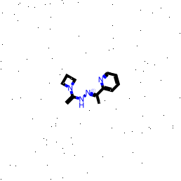 C=C(N/N=C(\C)c1ccccn1)N1CCC1